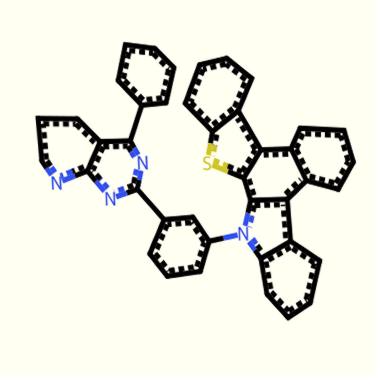 c1ccc(-c2nc(-c3cccc(-n4c5ccccc5c5c6ccccc6c6c7ccccc7sc6c54)c3)nc3ncccc23)cc1